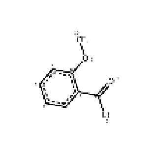 CCC(=O)c1ccccc1OC(F)(F)F